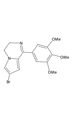 COc1cc(C2=NCCn3cc(Br)cc32)cc(OC)c1OC